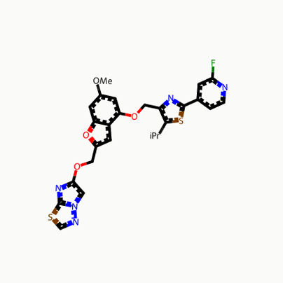 COc1cc(OCc2nc(-c3ccnc(F)c3)sc2C(C)C)c2cc(COc3cn4ncsc4n3)oc2c1